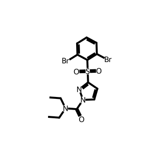 CCN(CC)C(=O)n1ccc(S(=O)(=O)c2c(Br)cccc2Br)n1